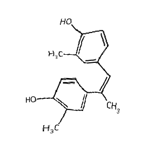 CC(=Cc1ccc(O)c(C)c1)c1ccc(O)c(C)c1